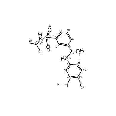 CCc1cc(NC(O)c2cccc(S(=O)(=O)NC(C)C)c2)ccc1F